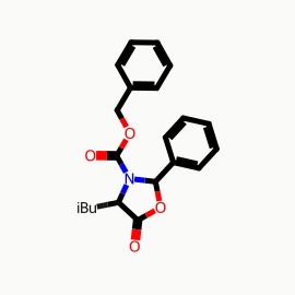 CCC(C)C1C(=O)OC(c2ccccc2)N1C(=O)OCc1ccccc1